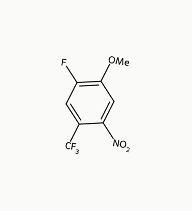 COc1cc([N+](=O)[O-])c(C(F)(F)F)cc1F